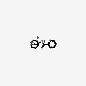 O=C(N[C@@H]1CN2CCC1CC2)c1ccccn1